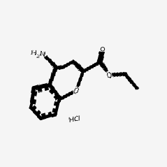 CCOC(=O)C1CC(N)c2ccccc2O1.Cl